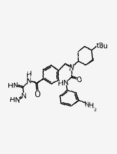 CC(C)(C)C1CCC(N(Cc2ccc(C(=O)NC(=N)N=N)cc2)C(=O)Nc2cccc(N)c2)CC1